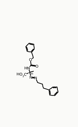 C[C@](N=NCCCc1ccccc1)(NC(=O)OCc1ccccc1)C(=O)O